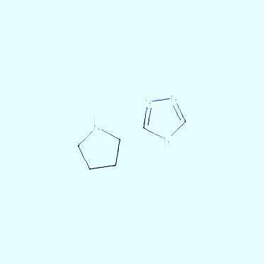 c1nnc([C@@H]2CCCN2)[nH]1